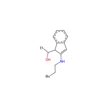 CCC(C)CCNC1=Cc2ccccc2C1C(O)CC